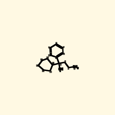 NCCC(O)(c1ccccc1)C1CCCCC1